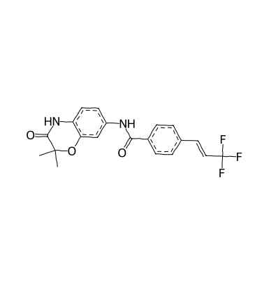 CC1(C)Oc2cc(NC(=O)c3ccc(/C=C/C(F)(F)F)cc3)ccc2NC1=O